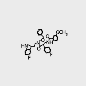 COc1cccc(C(=O)NC[C@H](C(=O)N(CCC2CNc3ccc(F)cc32)COCc2ccccc2)c2ccc(F)cc2)c1